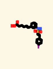 O=C(O)CCC/C=C/C1CC2CCC1C(NS(=O)(=O)/C=C/c1ccc(I)cc1)C2